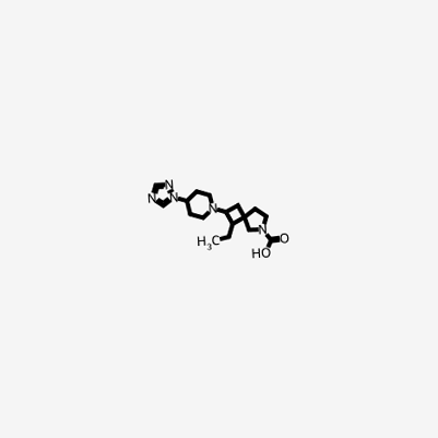 CCC1C(N2CCC(n3cncn3)CC2)CC12CCN(C(=O)O)C2